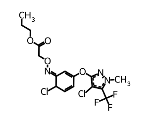 CCCOC(=O)CON=C1C=C(Oc2nn(C)c(C(F)(F)F)c2Cl)C=CC1Cl